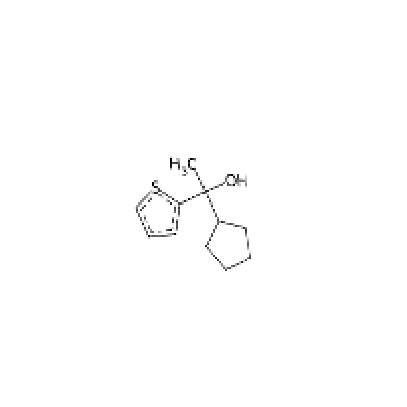 CC(O)(c1cccs1)C1CCCC1